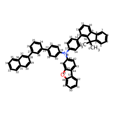 CC1(C)c2ccccc2-c2cccc(-c3ccc(N(c4ccc(-c5cccc(-c6ccc7ccccc7c6)c5)cc4)c4ccc5c(c4)oc4ccccc45)cc3)c21